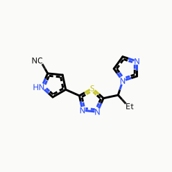 CCC(c1nnc(-c2c[nH]c(C#N)c2)s1)n1ccnc1